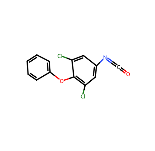 O=C=Nc1cc(Cl)c(Oc2ccccc2)c(Cl)c1